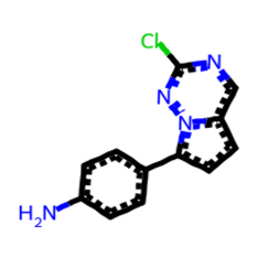 Nc1ccc(-c2ccc3cnc(Cl)nn23)cc1